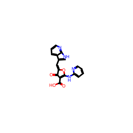 O=C(O)C1=C(Nc2ccccn2)OC(=Cc2c[nH]c3ncccc23)C1=O